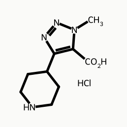 Cl.Cn1nnc(C2CCNCC2)c1C(=O)O